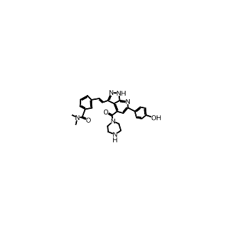 CN(C)C(=O)c1cccc(C=Cc2n[nH]c3nc(-c4ccc(O)cc4)cc(C(=O)N4CCNCC4)c23)c1